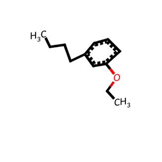 CCCCc1cccc(OCC)c1